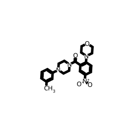 Cc1cccc(N2CCN(C(=O)c3cc([N+](=O)[O-])ccc3N3CCOCC3)CC2)c1